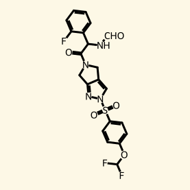 O=CNC(C(=O)N1Cc2cn(S(=O)(=O)c3ccc(OC(F)F)cc3)nc2C1)c1ccccc1F